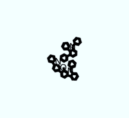 c1ccc(-n2c3ccccc3c3c(-c4ccc(-n5c6ccccc6c6ccc7c8ccc9c%10ccccc%10n(-c%10ccccc%10)c9c8oc7c65)cc4)cccc32)cc1